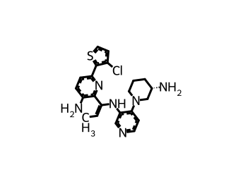 CC=C(Nc1cnccc1N1CCC[C@H](N)C1)c1nc(-c2sccc2Cl)ccc1N